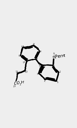 CCCCCc1ccccc1-c1ccccc1CCC(=O)O